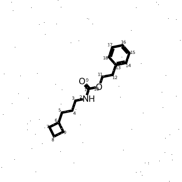 O=C(NCCCC1CCC1)OCCc1ccccc1